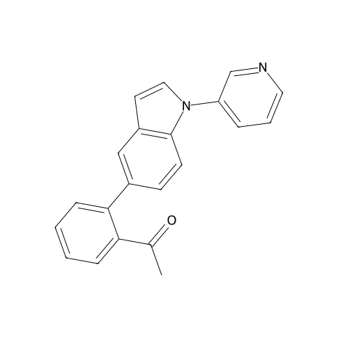 CC(=O)c1ccccc1-c1ccc2c(ccn2-c2cccnc2)c1